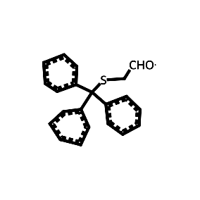 O=[C]CSC(c1ccccc1)(c1ccccc1)c1ccccc1